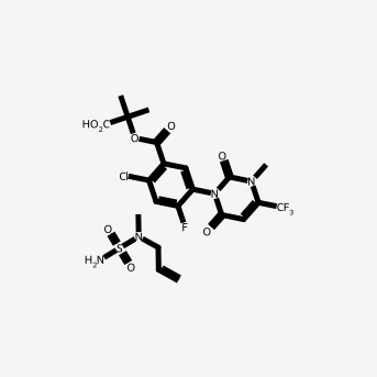 C=CCN(C)S(N)(=O)=O.Cn1c(C(F)(F)F)cc(=O)n(-c2cc(C(=O)OC(C)(C)C(=O)O)c(Cl)cc2F)c1=O